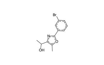 Cc1oc(-c2cccc(Br)c2)nc1C(C)O